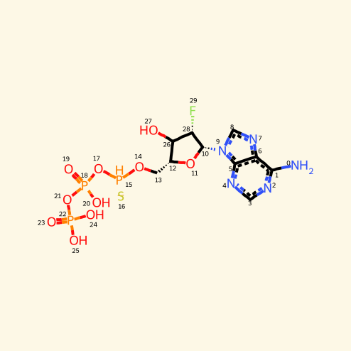 Nc1ncnc2c1ncn2[C@@H]1O[C@H](CO[PH](=S)OP(=O)(O)OP(=O)(O)O)C(O)[C@@H]1F